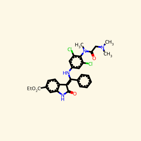 CCOC(=O)c1ccc2c(c1)NC(=O)/C2=C(/Nc1cc(Cl)c(N(C)C(=O)CN(C)C)c(Cl)c1)c1ccccc1